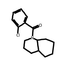 O=C(c1cc[c]cc1Cl)N1CCCC2CCCCC21